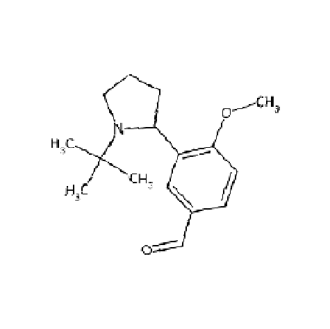 COc1ccc(C=O)cc1C1CCCN1C(C)(C)C